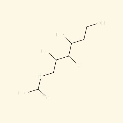 CC(C)NCC(O)C(O)C(O)CCO